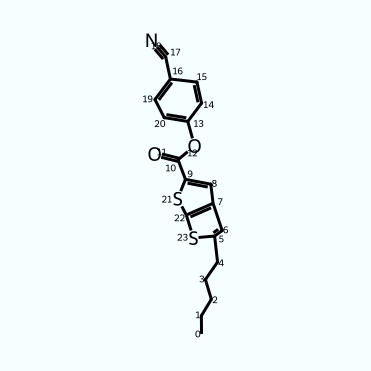 CCCCCc1cc2cc(C(=O)Oc3ccc(C#N)cc3)sc2s1